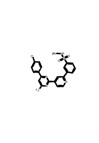 CC(C)(C)NS(=O)(=O)c1cccc(-c2cc(-c3nc(-c4ccc(Cl)cc4)cc(C(F)(F)F)n3)ccn2)c1